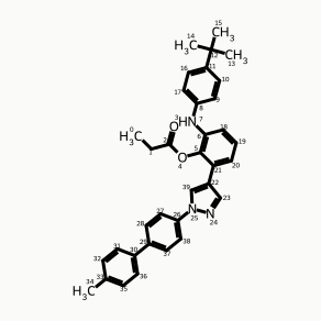 CCC(=O)Oc1c(Nc2ccc(C(C)(C)C)cc2)cccc1-c1cnn(-c2ccc(-c3ccc(C)cc3)cc2)c1